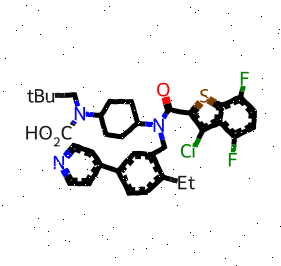 CCc1ccc(-c2ccncc2)cc1CN(C(=O)c1sc2c(F)ccc(F)c2c1Cl)C1CCC(N(CC(C)(C)C)C(=O)O)CC1